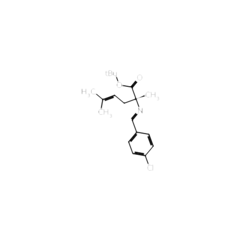 CC(C)=CC[C@@](C)(/N=C/c1ccc(Cl)cc1)C(=O)OC(C)(C)C